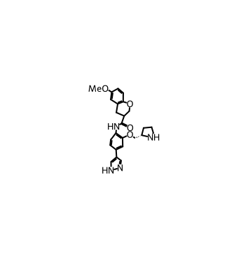 COc1ccc2c(c1)CC(C(=O)Nc1ccc(-c3cn[nH]c3)cc1OC[C@@H]1CCCN1)CO2